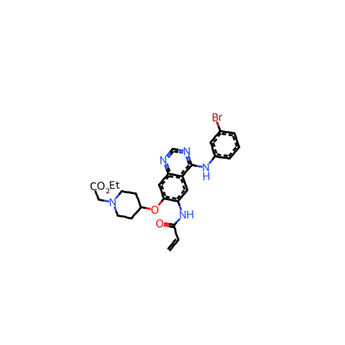 C=CC(=O)Nc1cc2c(Nc3cccc(Br)c3)ncnc2cc1OC1CCN(CC(=O)OCC)CC1